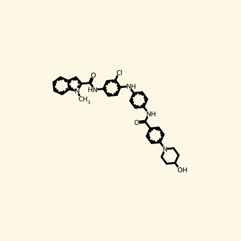 Cn1c(C(=O)Nc2ccc(Nc3ccc(NC(=O)c4ccc(N5CCC(O)CC5)cc4)cc3)c(Cl)c2)cc2ccccc21